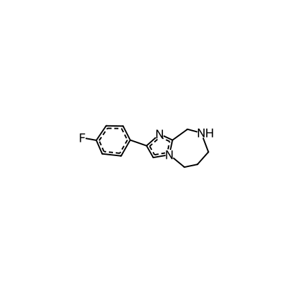 Fc1ccc(-c2cn3c(n2)CNCCC3)cc1